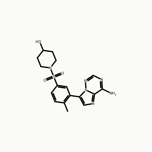 Cc1ccc(S(=O)(=O)N2CCC(O)CC2)cc1-c1cnc2c(N)ncnn12